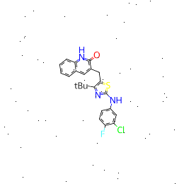 CC(C)(C)c1nc(Nc2ccc(F)c(Cl)c2)sc1Cc1cc2ccccc2[nH]c1=O